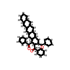 O=C(c1ccccc1)c1cc2cc3cc4cc5ccccc5cc4cc3cc2c(C(=O)c2ccccc2)c1C(=O)c1ccccc1